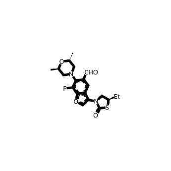 CC[C@@H]1CN(c2coc3c(F)c(N4C[C@@H](C)O[C@H](C)C4)c(C=O)cc23)C(=O)S1